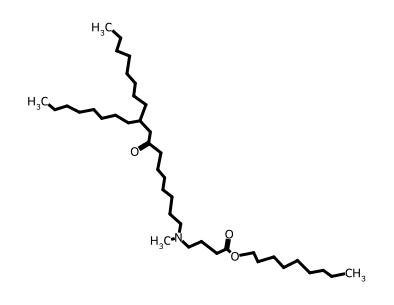 CCCCCCCCCOC(=O)CCCN(C)CCCCCCCC(=O)CC(CCCCCCCC)CCCCCCCC